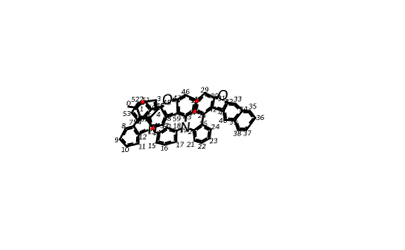 CC1CC=Cc2c1c1ccccc1n2-c1cccc(N(c2ccccc2-c2cccc3oc4cc5ccccc5cc4c23)c2cccc3oc4c5ccccc5ccc4c23)c1